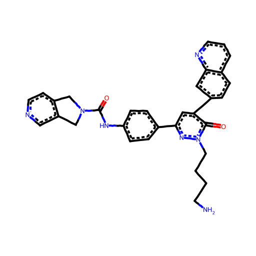 NCCCCn1nc(-c2ccc(NC(=O)N3Cc4ccncc4C3)cc2)cc(-c2ccc3cccnc3c2)c1=O